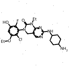 CCOc1cc(O)c(F)c(N2Cc3cnc(NC4CCC(N)CC4)nc3N(CC)C2=O)c1Cl